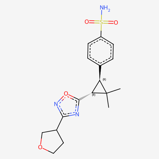 CC1(C)[C@H](c2ccc(S(N)(=O)=O)cc2)[C@H]1c1nc(C2CCOC2)no1